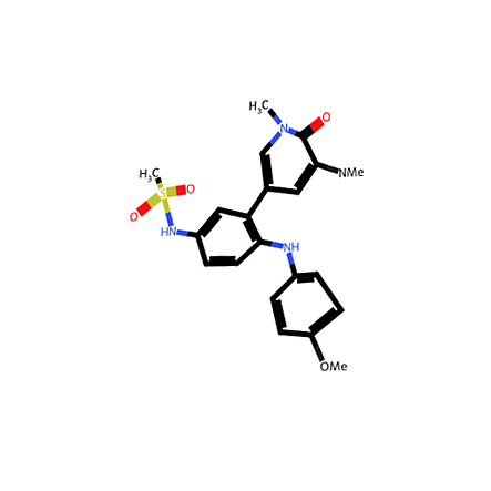 CNc1cc(-c2cc(NS(C)(=O)=O)ccc2Nc2ccc(OC)cc2)cn(C)c1=O